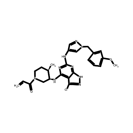 C=CC(=O)N1CC[C@@H](C)[C@@H](Nc2nc(Nc3cnn(Cc4cccc(OC)c4)c3)nc3[nH]nc(Cl)c23)C1